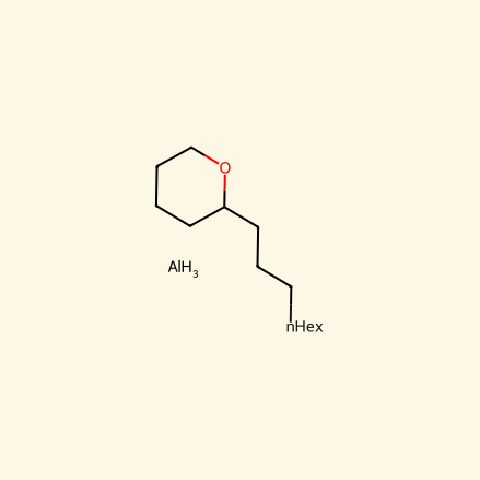 CCCCCCCCCC1CCCCO1.[AlH3]